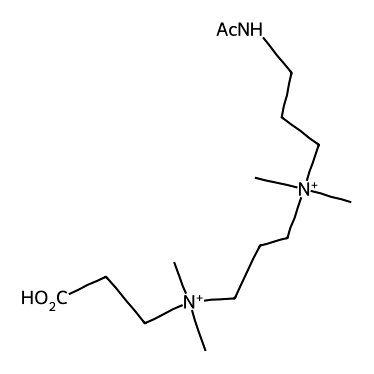 CC(=O)NCCC[N+](C)(C)CCC[N+](C)(C)CCC(=O)O